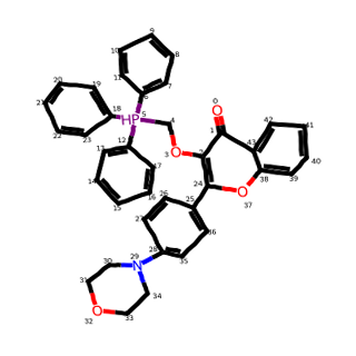 O=c1c(OC[PH](c2ccccc2)(c2ccccc2)c2ccccc2)c(-c2ccc(N3CCOCC3)cc2)oc2ccccc12